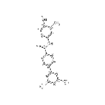 Cc1cc(NC(=O)c2ccc(-c3cc(C(F)(F)F)cc(C(F)(F)F)c3)cc2)ccc1O